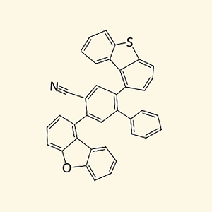 N#Cc1cc(-c2cccc3sc4ccccc4c23)c(-c2ccccc2)cc1-c1cccc2oc3ccccc3c12